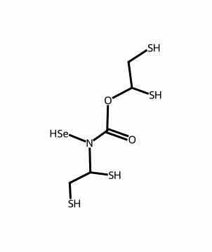 O=C(OC(S)CS)N([SeH])C(S)CS